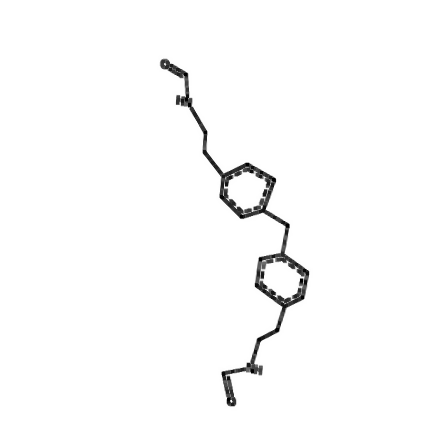 O=CNCCc1ccc(Cc2ccc(CCNC=O)cc2)cc1